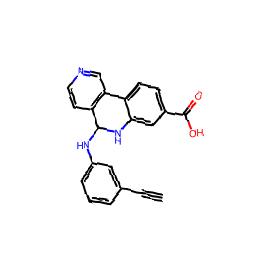 C#Cc1cccc(NC2Nc3cc(C(=O)O)ccc3-c3cnccc32)c1